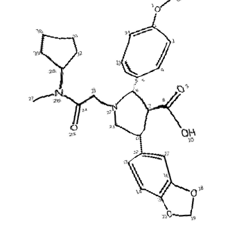 COc1ccc([C@@H]2[C@@H](C(=O)O)C(c3ccc4c(c3)OCO4)CN2CC(=O)N(C)C2CCCC2)cc1